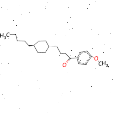 CCCCC[C@H]1CC[C@H](CCCC(=O)c2ccc(OC)cc2)CC1